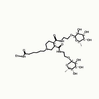 CCNC(=O)CCCCCN1CC[C@@H](C(=O)NCCO[C@@H]2O[C@@H](C)[C@@H](O)[C@@H](O)[C@@H]2O)[C@@H](C(=O)NCCO[C@@H]2O[C@@H](C)[C@@H](O)[C@@H](O)[C@@H]2O)C1